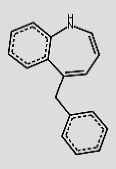 C1=CNc2ccccc2C(Cc2ccccc2)=C1